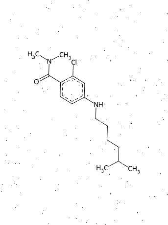 CC(C)CCCCNc1ccc(C(=O)N(C)C)c(Cl)c1